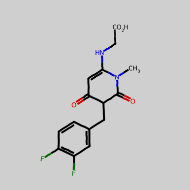 CN1C(=O)C(Cc2ccc(F)c(F)c2)C(=O)C=C1NCC(=O)O